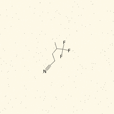 CC(CCC#N)C(F)(F)F